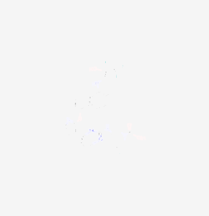 Cc1ccc2c(NCC(O)C(F)(F)F)c(F)ccc2c1Oc1ncccc1-c1ccnc(N[C@@H]2C[C@@H](F)CN(C(=O)O)C2)n1